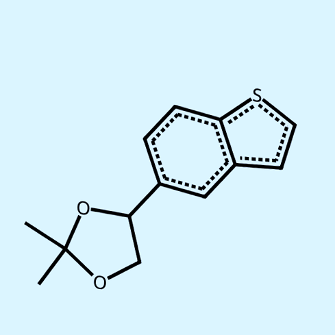 CC1(C)OCC(c2ccc3sccc3c2)O1